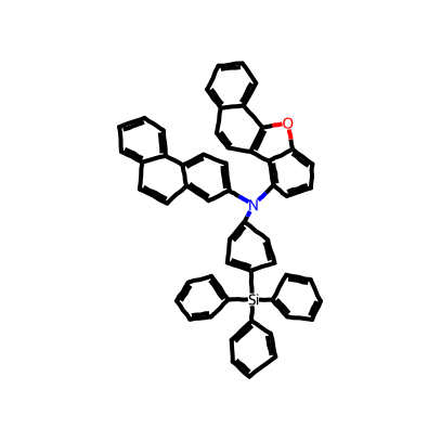 c1ccc([Si](c2ccccc2)(c2ccccc2)c2ccc(N(c3ccc4c(ccc5ccccc54)c3)c3cccc4oc5c6ccccc6ccc5c34)cc2)cc1